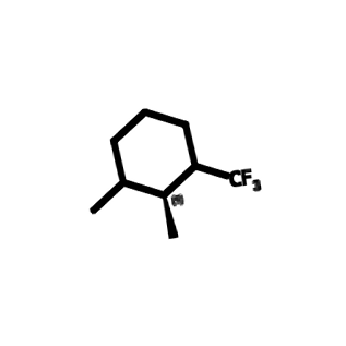 CC1CCCC(C(F)(F)F)[C@H]1C